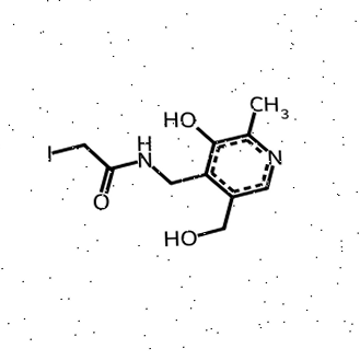 Cc1ncc(CO)c(CNC(=O)CI)c1O